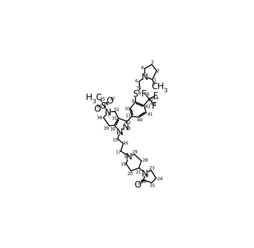 CC1CCCN1CCSc1cc(-c2nn(CCCN3CCC(N4CCCC4=O)CC3)c3c2CN(S(C)(=O)=O)CC3)ccc1C(F)(F)F